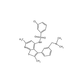 Cc1cc(NS(=O)(=O)c2cccc(Cl)c2)c2c(-c3cccc(CN(C)C)c3)c(C)sc2n1